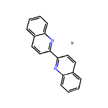 [Ir].c1ccc2nc(-c3ccc4ccccc4n3)ccc2c1